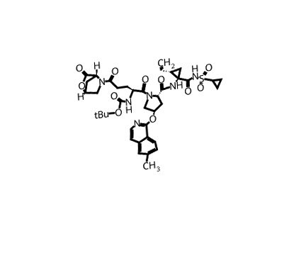 C=C[C@@H]1C[C@]1(NC(=O)[C@@H]1C[C@@H](Oc2nccc3cc(C)ccc23)CN1C(=O)[C@H](CCC(=O)N1C[C@H]2C[C@@H]1C(=O)O2)NC(=O)OC(C)(C)C)C(=O)NS(=O)(=O)C1CC1